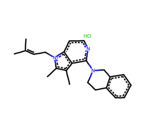 CC(C)=CCn1c(C)c(C)c2c(N3CCc4ccccc4C3)nccc21.Cl